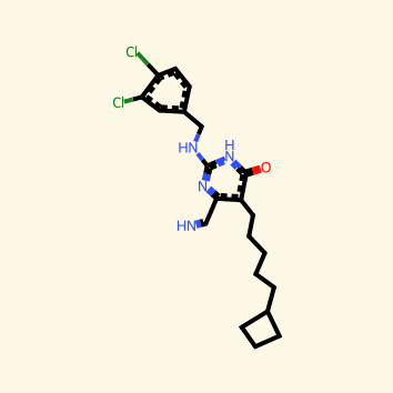 N=Cc1nc(NCc2ccc(Cl)c(Cl)c2)[nH]c(=O)c1CCCCCC1CCC1